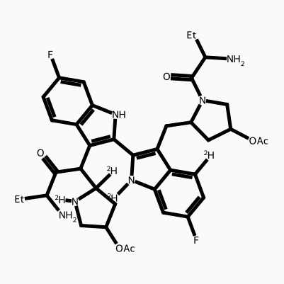 [2H]c1cc(F)cc2c1c(CC1CC(OC(C)=O)CN1C(=O)C(N)CC)c(-c1[nH]c3cc(F)ccc3c1C(C(=O)C(N)CC)C1([2H])CC(OC(C)=O)CN1[2H])n2[2H]